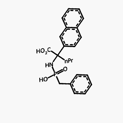 CCCC(NP(=O)(O)Cc1ccccc1)(C(=O)O)c1ccc2ccccc2c1